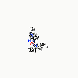 CC(C)(C)CCN(Cc1ccccc1C(F)(F)F)C(=O)CNc1cccc2c1CCN(CC1CC1)C2